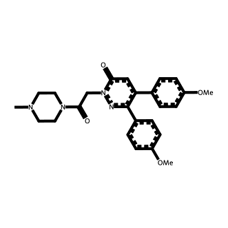 COc1ccc(-c2cc(=O)n(CC(=O)N3CCN(C)CC3)nc2-c2ccc(OC)cc2)cc1